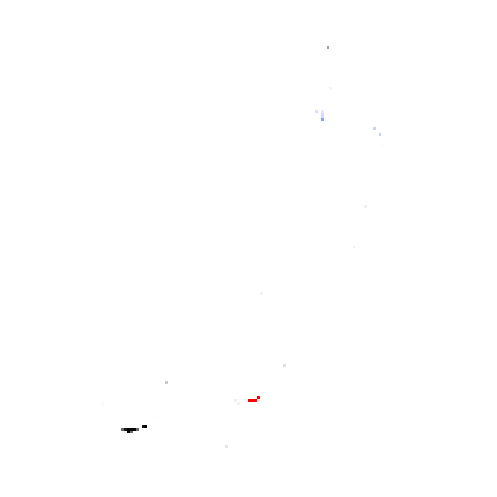 O=C(O)[C@H]1CC[C@@H](Oc2ccc(-c3ccc(-c4nc5c([nH]4)CCCC5)c(F)c3)cn2)CC1